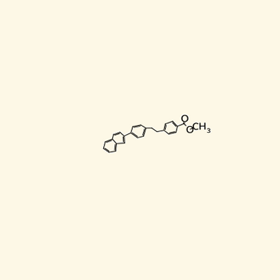 COC(=O)c1ccc(CCc2ccc(-c3ccc4ccccc4c3)cc2)cc1